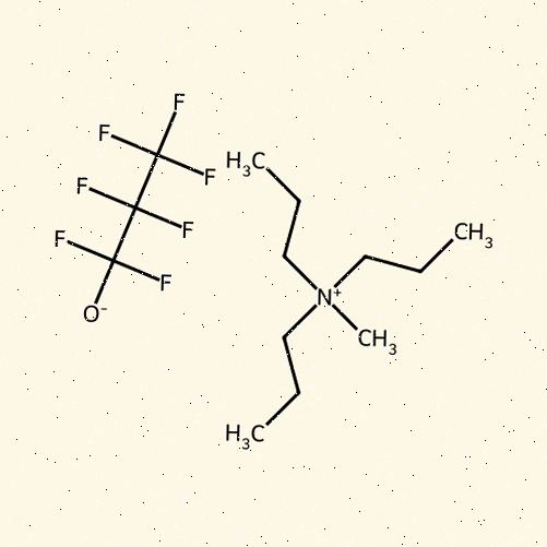 CCC[N+](C)(CCC)CCC.[O-]C(F)(F)C(F)(F)C(F)(F)F